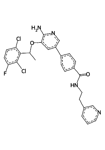 CC(Oc1cc(-c2ccc(C(=O)NCCc3cccnc3)cc2)cnc1N)c1c(Cl)ccc(F)c1Cl